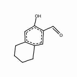 O=Cc1cc2c(cc1O)CCCC2